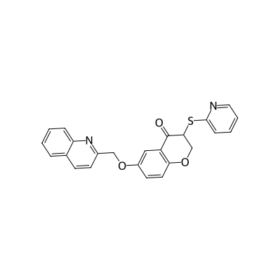 O=C1c2cc(OCc3ccc4ccccc4n3)ccc2OCC1Sc1ccccn1